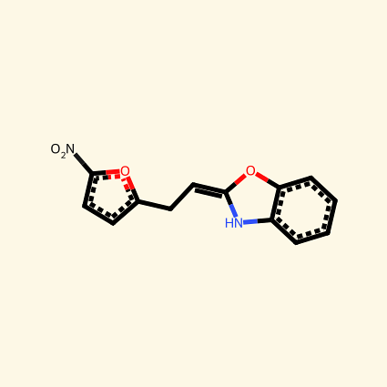 O=[N+]([O-])c1ccc(C/C=C2\Nc3ccccc3O2)o1